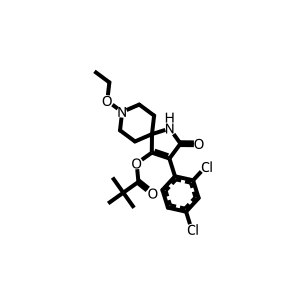 CCON1CCC2(CC1)NC(=O)C(c1ccc(Cl)cc1Cl)=C2OC(=O)C(C)(C)C